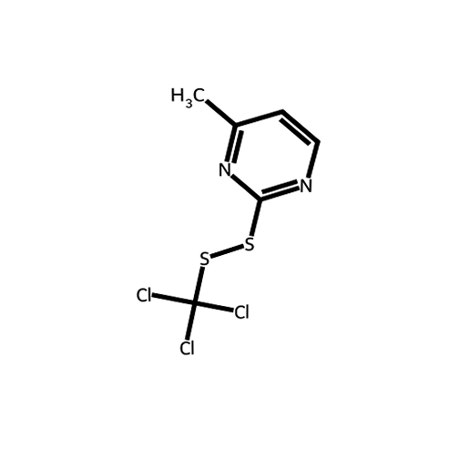 Cc1ccnc(SSC(Cl)(Cl)Cl)n1